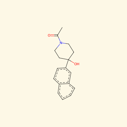 CC(=O)N1CCC(O)(c2ccc3ccccc3c2)CC1